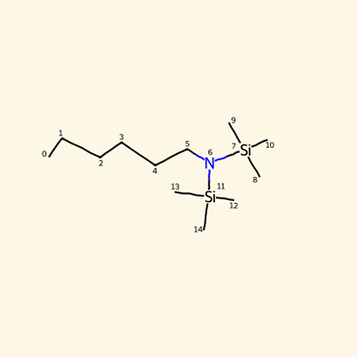 CCCCCCN([Si](C)(C)C)[Si](C)(C)C